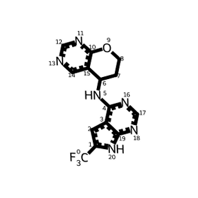 FC(F)(F)c1cc2c(NC3CCOc4ncncc43)ncnc2[nH]1